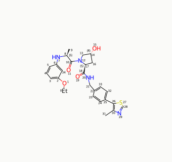 CCOc1cccc(N[C@@H](C)C(=O)N2C[C@H](O)C[C@H]2C(=O)NCc2ccc(-c3scnc3C)cc2)c1